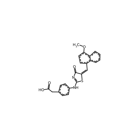 COc1ccc(C=C2SC(Nc3ccc(CC(=O)O)cc3)=NC2=O)c2ccccc12